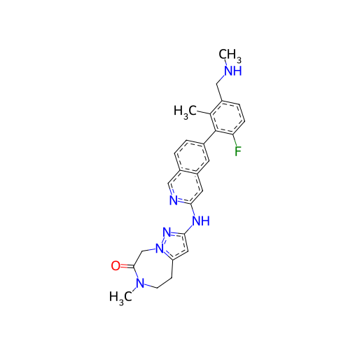 CNCc1ccc(F)c(-c2ccc3cnc(Nc4cc5n(n4)CC(=O)N(C)CC5)cc3c2)c1C